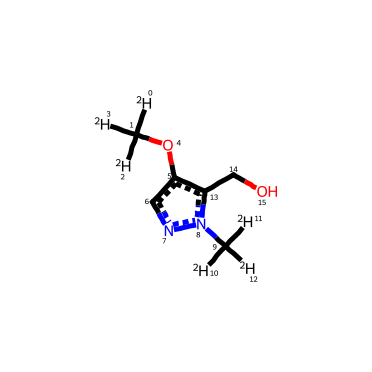 [2H]C([2H])([2H])Oc1cnn(C([2H])([2H])[2H])c1CO